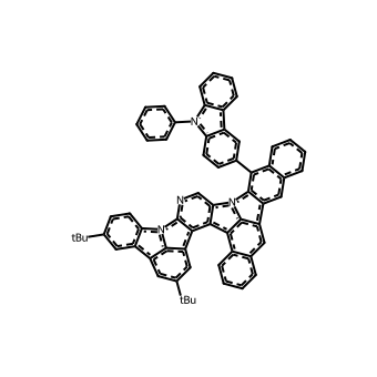 CC(C)(C)c1ccc2c(c1)c1cc(C(C)(C)C)cc3c4c5c6c7ccccc7cc7c8cc9ccccc9c(-c9ccc%10c(c9)c9ccccc9n%10-c9ccccc9)c8n(c5cnc4n2c13)c76